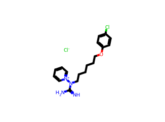 N=C(N)N(CCCCCCOc1ccc(Cl)cc1)[n+]1ccccc1.[Cl-]